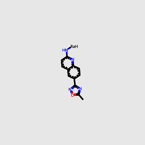 Cc1nc(-c2ccc3nc([NH][RaH])ccc3c2)no1